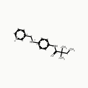 CCC(C)(C)C(=O)Nc1ccc(NCc2cccnc2)cc1